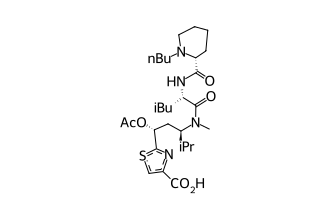 CCCCN1CCCC[C@@H]1C(=O)N[C@H](C(=O)N(C)[C@H](C[C@@H](OC(C)=O)c1nc(C(=O)O)cs1)C(C)C)[C@@H](C)CC